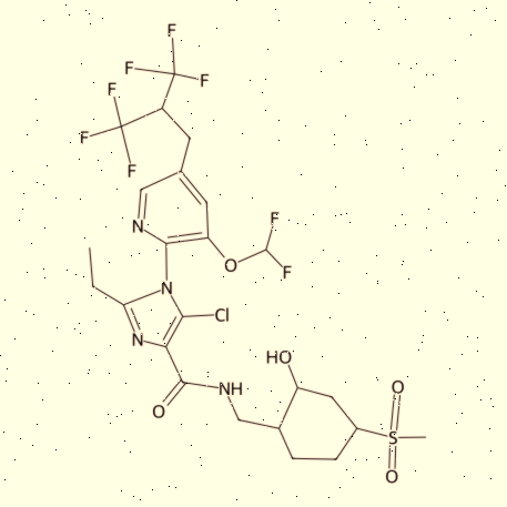 CCc1nc(C(=O)NCC2CCC(S(C)(=O)=O)CC2O)c(Cl)n1-c1ncc(CC(C(F)(F)F)C(F)(F)F)cc1OC(F)F